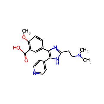 COc1ccc(-c2nc(CCN(C)C)[nH]c2-c2ccncc2)cc1C(=O)O